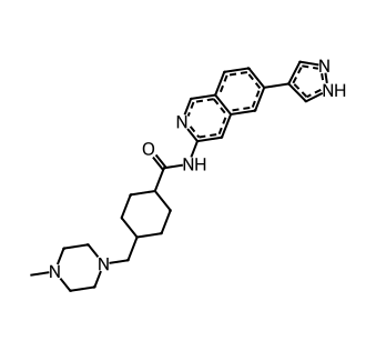 CN1CCN(CC2CCC(C(=O)Nc3cc4cc(-c5cn[nH]c5)ccc4cn3)CC2)CC1